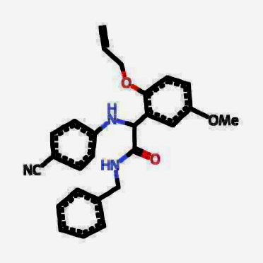 C=CCOc1ccc(OC)cc1C(Nc1ccc(C#N)cc1)C(=O)NCc1ccccc1